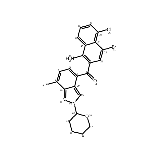 Nc1c(C(=O)c2ccc(F)c3nn(C4CCCCO4)cc23)cc(Br)c2c(Cl)cccc12